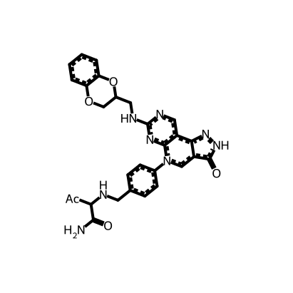 CC(=O)C(NCc1ccc(-n2cc3c(=O)[nH]nc-3c3cnc(NCC4COc5ccccc5O4)nc32)cc1)C(N)=O